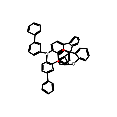 c1ccc(-c2cccc(N(c3ccc4c(c3)C3(c5ccccc5Oc5ccccc53)c3ccccc3-4)c3ccc(-c4ccccc4)cc3-c3ccccc3)c2)cc1